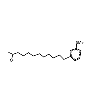 CSc1cc[c]c(CCCCCCCCCCC(C)[O])c1